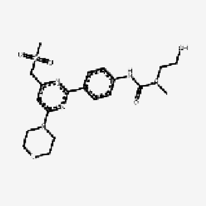 CN(CCO)C(=O)Nc1ccc(-c2nc(CS(C)(=O)=O)cc(N3CCOCC3)n2)cc1